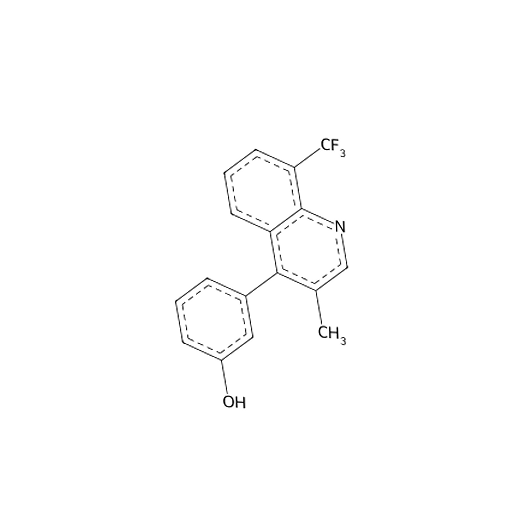 Cc1cnc2c(C(F)(F)F)cccc2c1-c1cccc(O)c1